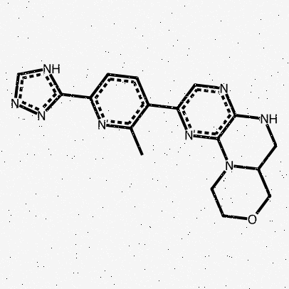 Cc1nc(-c2nnc[nH]2)ccc1-c1cnc2c(n1)N1CCOCC1CN2